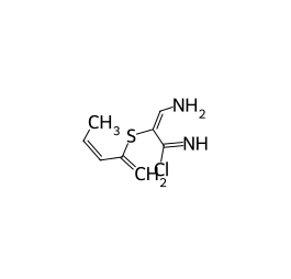 C=C(/C=C\C)S/C(=C/N)C(=N)Cl